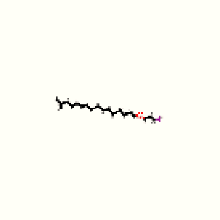 CC(C)CCCCCCCCCCCCCCOCCCI